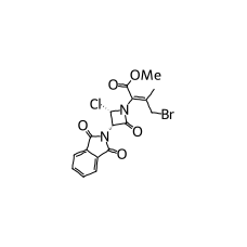 COC(=O)/C(=C(\C)CBr)N1C(=O)[C@H](N2C(=O)c3ccccc3C2=O)[C@@H]1Cl